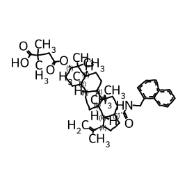 C=C(C)[C@@H]1CC[C@]2(C(=O)NCc3cccc4ccccc34)CC[C@]3(C)[C@H](CC[C@@H]4[C@@]5(C)CC[C@H](OC(=O)CC(C)(C)C(=O)O)C(C)(C)[C@@H]5CC[C@]43C)[C@@H]12